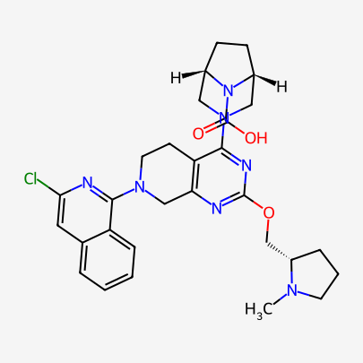 CN1CCC[C@H]1COc1nc2c(c(N3C[C@H]4CC[C@@H](C3)N4C(=O)O)n1)CCN(c1nc(Cl)cc3ccccc13)C2